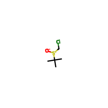 CC(C)(C)[S+]([O-])CCl